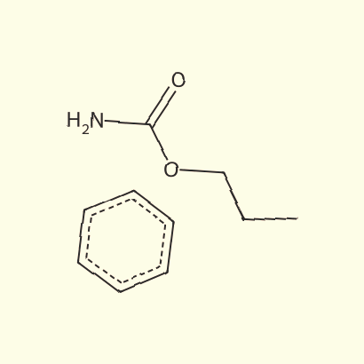 CCCOC(N)=O.c1ccccc1